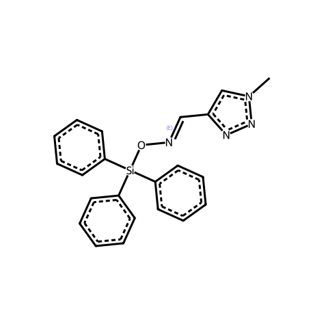 Cn1cc(/C=N/O[Si](c2ccccc2)(c2ccccc2)c2ccccc2)nn1